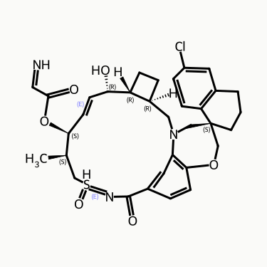 C[C@@H]1C/[SH](=O)=N\C(=O)c2ccc3c(c2)N(C[C@@H]2CC[C@H]2[C@@H](O)/C=C/[C@@H]1OC(=O)C=N)C[C@@]1(CCCc2cc(Cl)ccc21)CO3